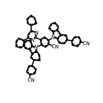 N#Cc1ccc(-c2ccc3c(c2)c2ccccc2n3-c2cc(-c3nc(-c4ccccc4)cc(-c4ccccc4)n3)c(-n3c4ccccc4c4cc(-c5ccc(C#N)cc5)ccc43)cc2C#N)cc1